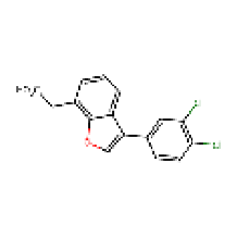 O=C(O)Cc1cccc2c(-c3ccc(Cl)c(Cl)c3)coc12